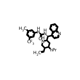 C=CC1CNC([C@H](NC(=O)Nc2cc(C)cc(C(F)(F)F)c2)c2ccnc3ccccc23)CC1CCC